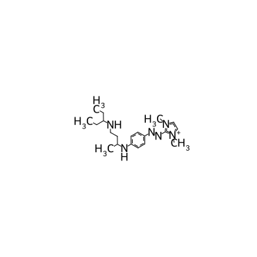 CCC(CC)NCCC(C)Nc1ccc(N=Nc2n(C)cc[n+]2C)cc1